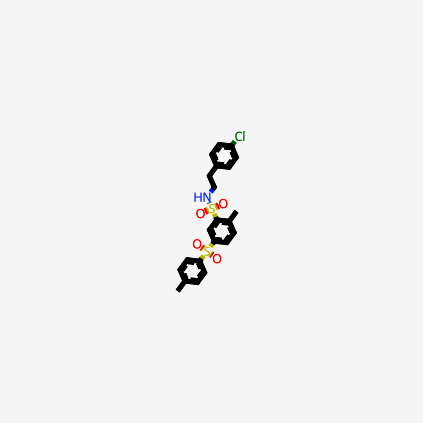 Cc1ccc(S(=O)(=O)c2ccc(C)c(S(=O)(=O)NCCc3ccc(Cl)cc3)c2)cc1